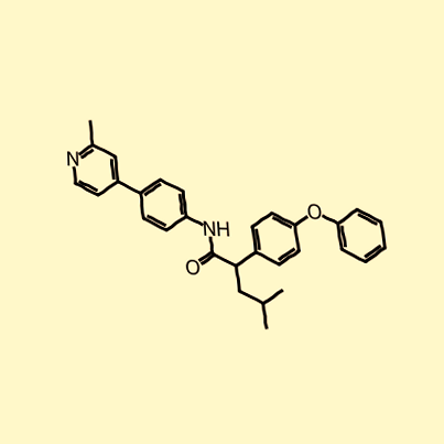 Cc1cc(-c2ccc(NC(=O)C(CC(C)C)c3ccc(Oc4ccccc4)cc3)cc2)ccn1